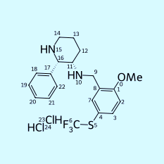 COc1ccc(SC(F)(F)F)cc1CN[C@H]1CCCN[C@H]1c1ccccc1.Cl.Cl